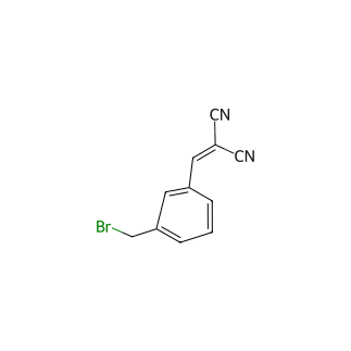 N#CC(C#N)=Cc1cccc(CBr)c1